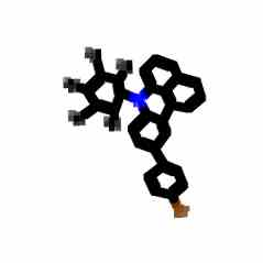 [2H]c1c([2H])c([2H])c(N2c3ccc(-c4ccc(Br)cc4)cc3-c3cccc4cccc2c34)c([2H])c1[2H]